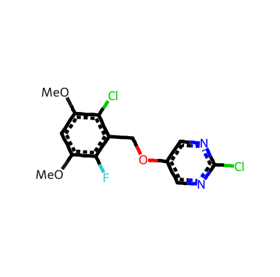 COc1cc(OC)c(Cl)c(COc2cnc(Cl)nc2)c1F